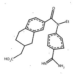 CCN(C(=O)c1ccc2c(c1)CC(CC(=O)O)CC2)c1ccc(C(=N)N)cc1